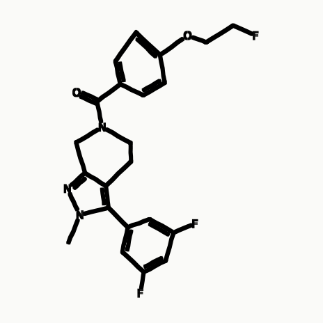 Cn1nc2c(c1-c1cc(F)cc(F)c1)CCN(C(=O)c1ccc(OCCF)cc1)C2